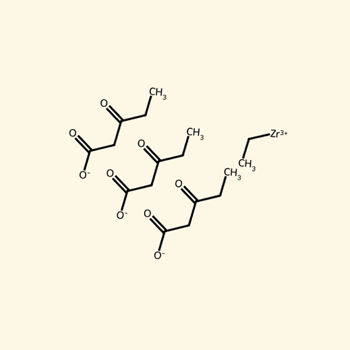 CCC(=O)CC(=O)[O-].CCC(=O)CC(=O)[O-].CCC(=O)CC(=O)[O-].C[CH2][Zr+3]